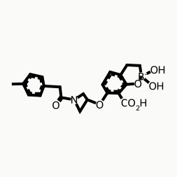 Cc1ccc(CC(=O)N2CC(Oc3ccc4c(c3C(=O)O)O[B-](O)(O)CC4)C2)cc1